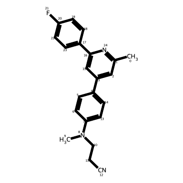 Cc1cc(-c2ccc(N(C)CCC#N)cc2)cc(-c2ccc(F)cc2)n1